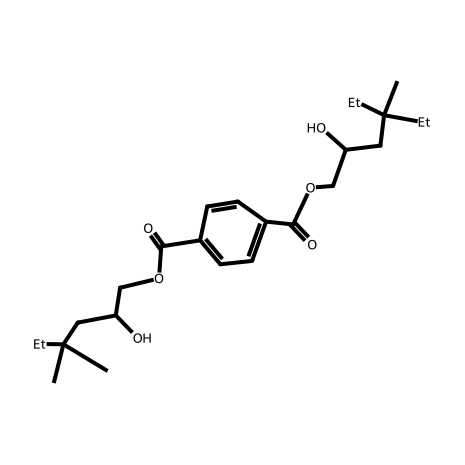 CCC(C)(C)CC(O)COC(=O)c1ccc(C(=O)OCC(O)CC(C)(CC)CC)cc1